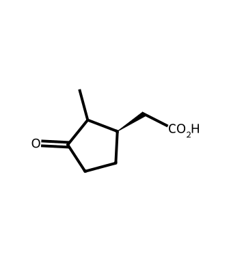 CC1C(=O)CC[C@@H]1CC(=O)O